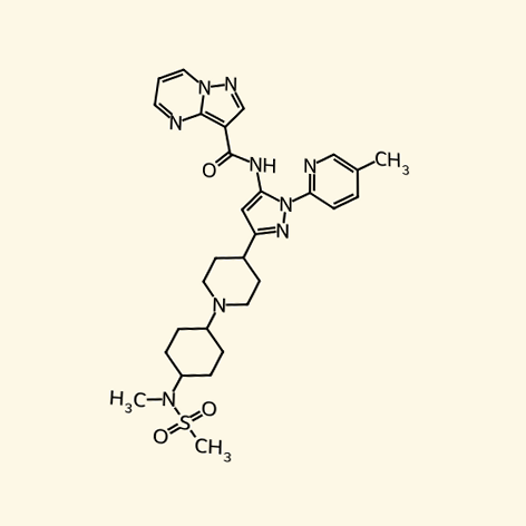 Cc1ccc(-n2nc(C3CCN(C4CCC(N(C)S(C)(=O)=O)CC4)CC3)cc2NC(=O)c2cnn3cccnc23)nc1